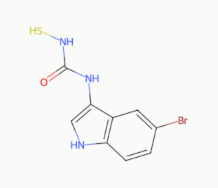 O=C(NS)Nc1c[nH]c2ccc(Br)cc12